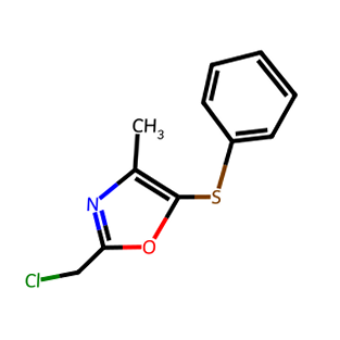 Cc1nc(CCl)oc1Sc1ccccc1